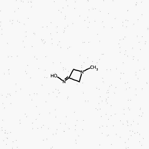 CN1CC(=NO)C1